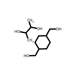 CC(O)C(C)O.OCC1CCC(CO)CC1